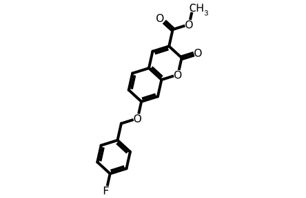 COC(=O)c1cc2ccc(OCc3ccc(F)cc3)cc2oc1=O